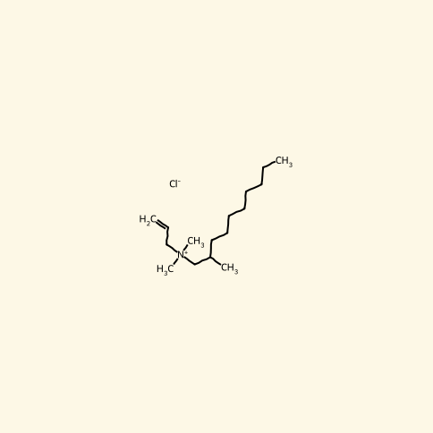 C=CC[N+](C)(C)CC(C)CCCCCCCC.[Cl-]